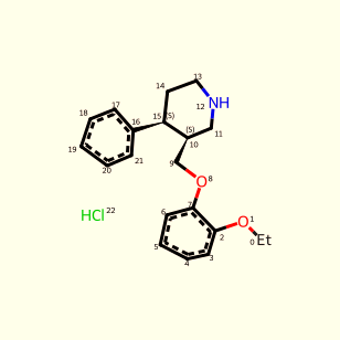 CCOc1ccccc1OC[C@@H]1CNCC[C@@H]1c1ccccc1.Cl